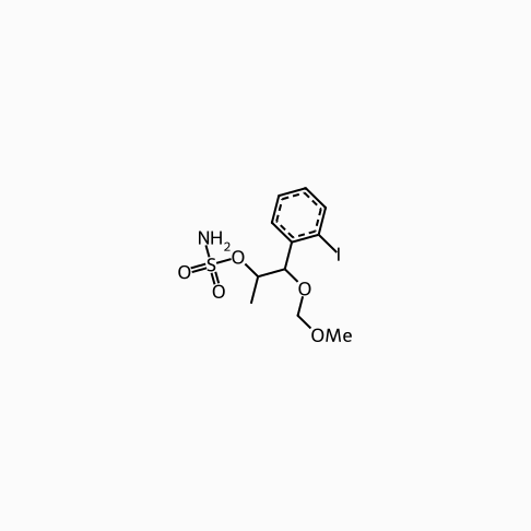 COCOC(c1ccccc1I)C(C)OS(N)(=O)=O